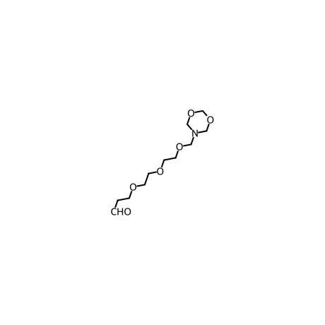 O=CCCOCCOCCOCN1COCOC1